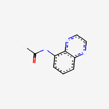 CCC(=O)Nc1cccc2nccnc12